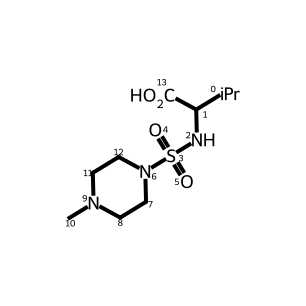 CC(C)C(NS(=O)(=O)N1CCN(C)CC1)C(=O)O